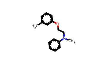 Cc1cccc(OCCN(C)c2ccccc2)c1